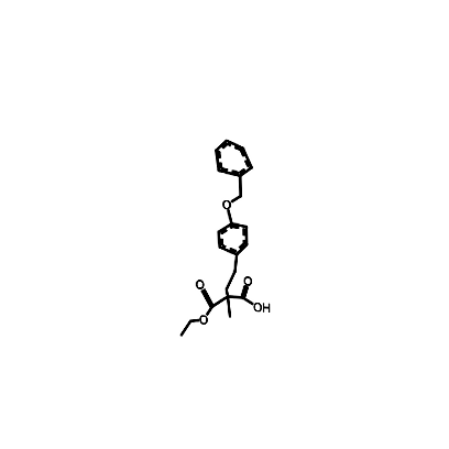 CCOC(=O)C(C)(CCc1ccc(OCc2ccccc2)cc1)C(=O)O